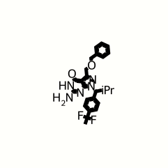 CC(C)C(c1ccc(C(C)(F)F)cc1)n1nc(COCc2ccccc2)c2c(=O)[nH]c(N)nc21